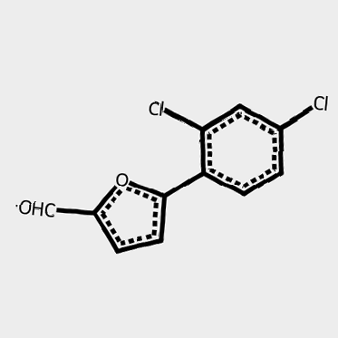 O=[C]c1ccc(-c2ccc(Cl)cc2Cl)o1